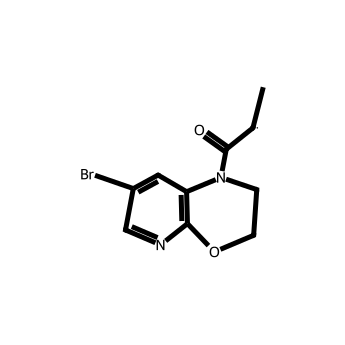 C[CH]C(=O)N1CCOc2ncc(Br)cc21